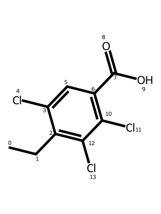 CCc1c(Cl)cc(C(=O)O)c(Cl)c1Cl